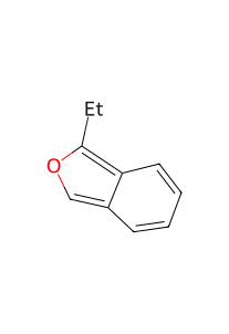 [CH2]Cc1occ2ccccc12